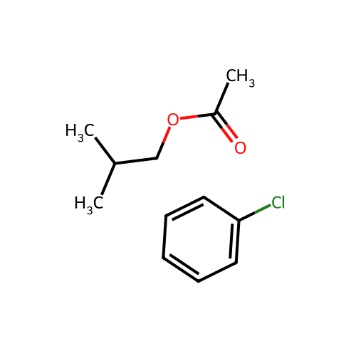 CC(=O)OCC(C)C.Clc1ccccc1